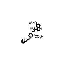 COc1ccc2nccc([C@H](O)CC[C@@H]3CCN(CCCc4ccco4)C[C@@H]3CC(=O)O)c2c1